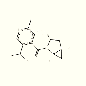 Cc1cc(C(=O)N2[C@@H](C(=O)O)C[C@H]3C[C@H]32)c(C(C)O)cn1